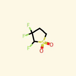 O=S1(=O)CCC(F)(F)C1F